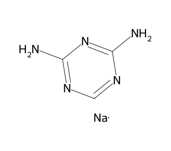 Nc1ncnc(N)n1.[Na]